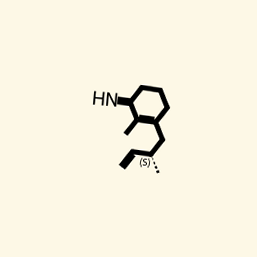 C=C[C@@H](C)CC1=C(C)C(=N)CCC1